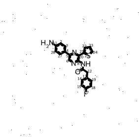 Nc1ccc(-c2cnc(NC(=O)Cc3ccc(F)cc3)c(-c3cccs3)n2)cc1